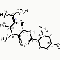 CC[C@@H]1CCC(C(=O)N[C@H](C(=O)N(C)[C@H](/C=C(\C)C(=O)O)C(C)C)C(C)C)N(C)C1